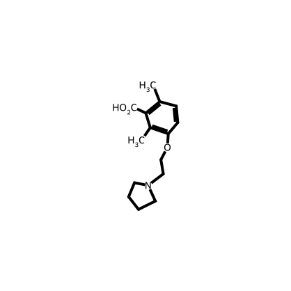 Cc1ccc(OCCN2CCCC2)c(C)c1C(=O)O